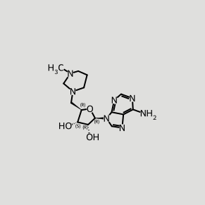 CN1CCCN(C[C@H]2O[C@@H](n3cnc4c(N)ncnc43)[C@H](O)[C@@H]2O)C1